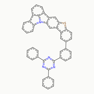 c1ccc(-c2nc(-c3ccccc3)nc(-c3cccc(-c4ccc5sc6cc7c8cccc9c%10ccccc%10n(c7cc6c5c4)c98)c3)n2)cc1